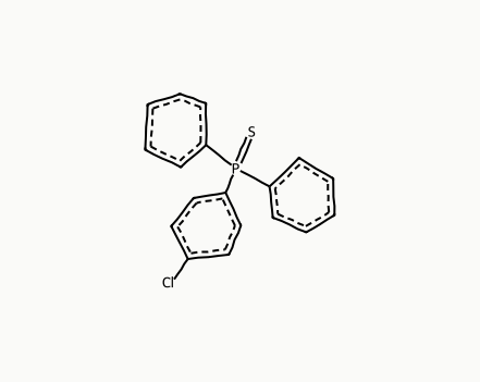 S=P(c1ccccc1)(c1ccccc1)c1ccc(Cl)cc1